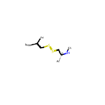 CCN[C@@H](CSSCC(NC)C(C)=O)C(C)=O